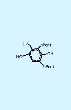 CCCCCc1cc(O)c(C)c(CCCCC)c1O